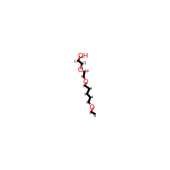 CCOCCCCCOCCOCCO